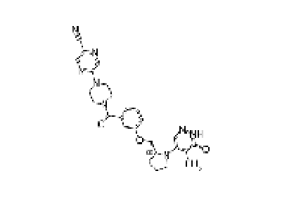 Cc1c(N2CCC[C@H]2COc2cccc(C(=O)N3CCN(c4cnc(C#N)cn4)CC3)c2)cn[nH]c1=O